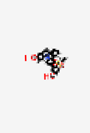 C=CCS(=O)(=O)c1ccc(O)cc1-c1ccc2c(c1)-c1ccccc1C(CC)N2c1ccc(O)cc1